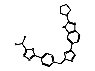 FC(F)c1nnc(-c2ccc(Cn3cc(-c4ccc5nc(N6CCCC6)[nH]c5c4)nn3)cc2)o1